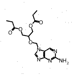 CCC(=O)OCC(COC(=O)CC)OCn1cnc2nc(N)ncc21